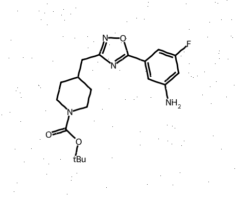 CC(C)(C)OC(=O)N1CCC(Cc2noc(-c3cc(N)cc(F)c3)n2)CC1